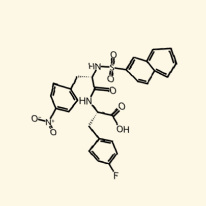 O=C(O)[C@H](Cc1ccc(F)cc1)NC(=O)[C@H](Cc1ccc([N+](=O)[O-])cc1)NS(=O)(=O)c1ccc2ccccc2c1